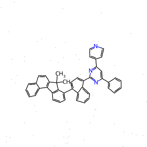 CC1(C)c2ccc3ccccc3c2-c2cccc(-c3ccc(-c4nc(-c5ccccc5)cc(-c5ccncc5)n4)c4ccccc34)c21